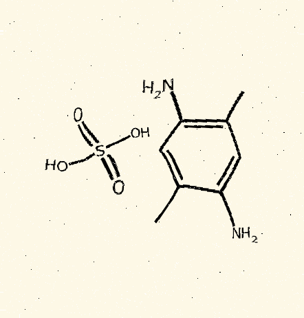 Cc1cc(N)c(C)cc1N.O=S(=O)(O)O